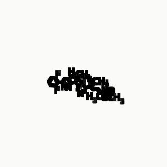 C=N/C(=C\C=C(/C)NS(C)(=O)=O)c1cncc([C@@]23CC[C@@H](c4cc(-c5c(F)cccc5F)nnc42)C3(C)C)n1